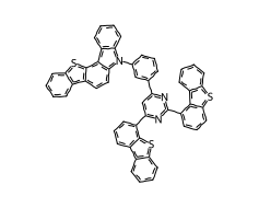 c1cc(-c2cc(-c3cccc4c3sc3ccccc34)nc(-c3cccc4sc5ccccc5c34)n2)cc(-n2c3ccccc3c3c4sc5ccccc5c4ccc32)c1